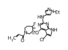 C=CC(=O)N1CC[C@@H](F)[C@@H](Oc2nc(Nc3cnn(CC)c3)nc3[nH]cc(Cl)c23)C1